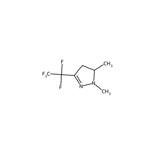 CC1CC(C(F)(F)C(F)(F)F)=NN1C